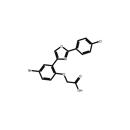 O=C(O)COc1ccc(Br)cc1-c1coc(-c2ccc(Cl)cc2)n1